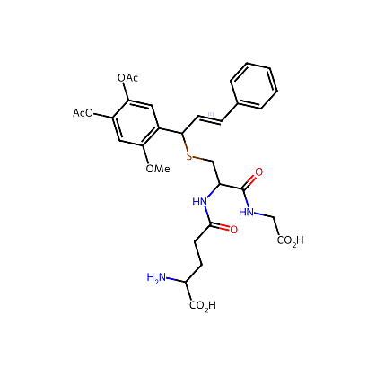 COc1cc(OC(C)=O)c(OC(C)=O)cc1C(/C=C/c1ccccc1)SCC(NC(=O)CCC(N)C(=O)O)C(=O)NCC(=O)O